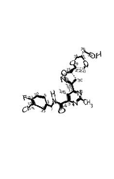 Cc1nc(C(=O)NCc2ccc(F)c(Cl)c2)cc(C2=NO[C@H]([C@H]3CO[C@@H](CO)CO3)C2)n1